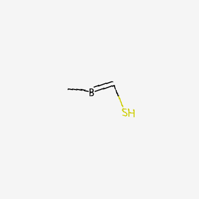 C/B=C\S